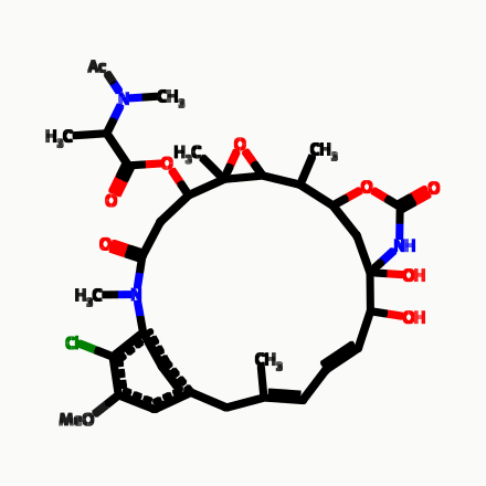 COc1cc2cc(c1Cl)N(C)C(=O)CC(OC(=O)C(C)N(C)C(C)=O)C1(C)OC1C(C)C1CC(O)(NC(=O)O1)C(O)/C=C/C=C(\C)C2